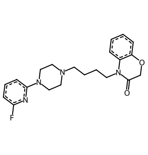 O=C1COc2ccccc2N1CCCCN1CCN(c2cccc(F)n2)CC1